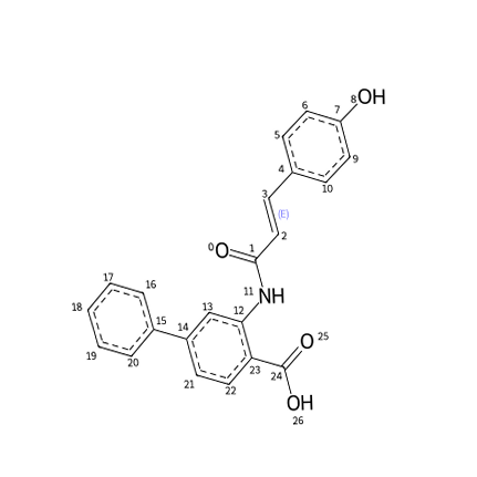 O=C(/C=C/c1ccc(O)cc1)Nc1cc(-c2ccccc2)ccc1C(=O)O